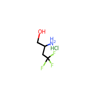 Cl.NC(CO)CC(F)(F)F